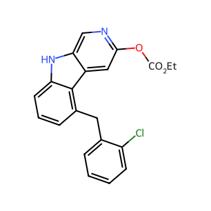 CCOC(=O)Oc1cc2c(cn1)[nH]c1cccc(Cc3ccccc3Cl)c12